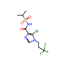 CC(C)S(=O)(=O)NC(=O)c1ncn(CCC(F)(F)F)c1Br